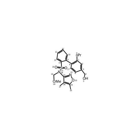 CCCc1cc(CO)ccc1-c1ccccc1S(=O)(=O)N(COC)c1noc(C)c1C